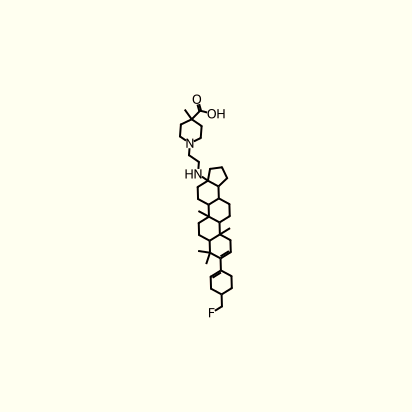 CC1(C(=O)O)CCN(CCNC23CCCC2C2CCC4C(C)(CCC5C(C)(C)C(C6=CCC(CF)CC6)=CCC54C)C2CC3)CC1